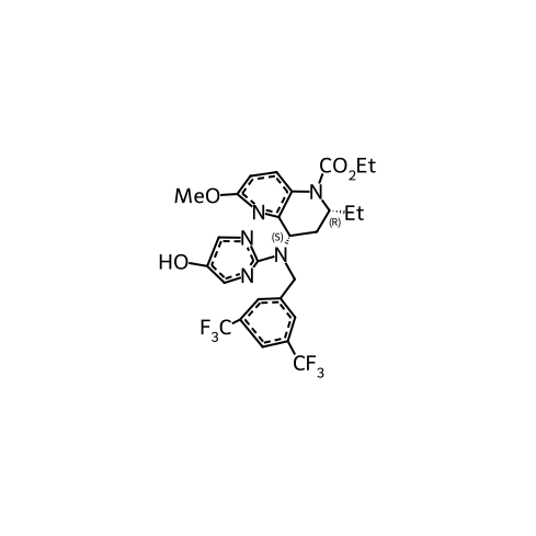 CCOC(=O)N1c2ccc(OC)nc2[C@@H](N(Cc2cc(C(F)(F)F)cc(C(F)(F)F)c2)c2ncc(O)cn2)C[C@H]1CC